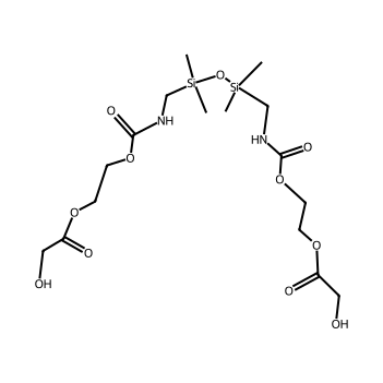 C[Si](C)(CNC(=O)OCCOC(=O)CO)O[Si](C)(C)CNC(=O)OCCOC(=O)CO